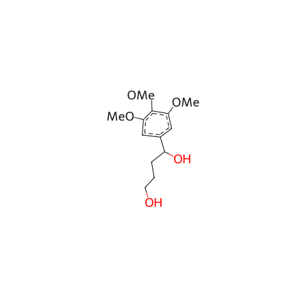 COc1cc(C(O)CCCO)cc(OC)c1OC